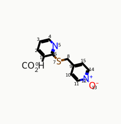 O=C(O)c1cccnc1SCc1cc[n+]([O-])cc1